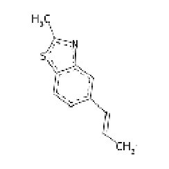 [CH2]C=Cc1ccc2sc(C)nc2c1